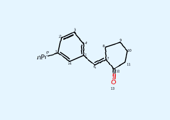 CCCc1cccc(/C=C2\CCCCC2=O)c1